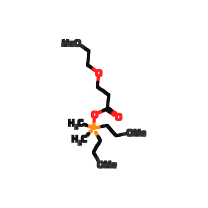 COCCOCCC(=O)OP(C)(C)(CCOC)CCOC